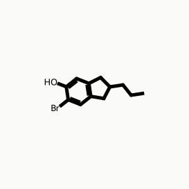 CCCC1Cc2cc(O)c(Br)cc2C1